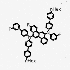 CCCCCCc1ccc(-c2ccc(N(c3cccc(F)c3)c3cc4c5ccc(F)cc5c(N(c5ccc(-c6ccc(CCCCCC)cc6)cc5)c5ccc(-c6cccc(F)c6)cc5)cc4c4ccccc34)cc2)cc1